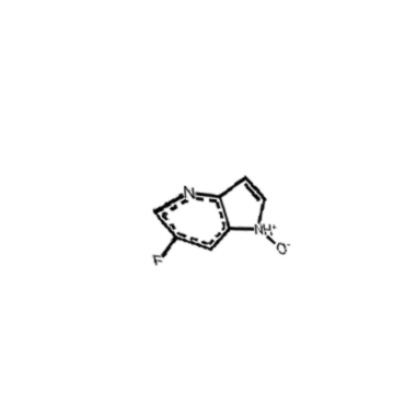 [O-][NH+]1C=Cc2ncc(F)cc21